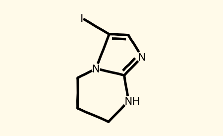 Ic1cnc2n1CCCN2